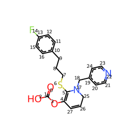 O=C(O)OC1=C(SCCCc2ccc(F)cc2)N(Cc2ccncc2)CC=C1